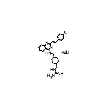 Cl.Cl.N=C(N)NCC1CCC(CNc2nc(C=Cc3ccc(Cl)cc3)nc3ccccc23)CC1